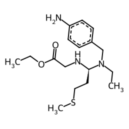 CCOC(=O)CN[C@H](CCSC)N(CC)Cc1ccc(N)cc1